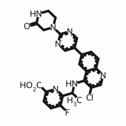 CC(Nc1c(Cl)cnc2ccc(-c3cnc(N4CCNC(=O)C4)nc3)cc12)c1nc(C(=O)O)ccc1F